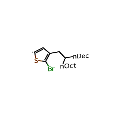 CCCCCCCCCCC(CCCCCCCC)Cc1c[c]sc1Br